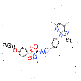 CCCCOc1ccc(S(=O)(=O)NC(=O)NCCc2ccc(-n3c(CC)nc4c(C)cc(C)nc43)cc2)cc1